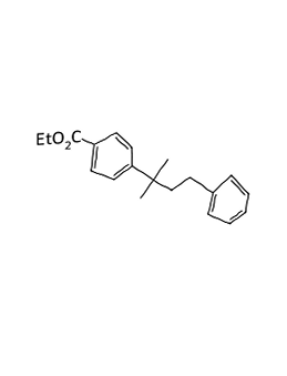 CCOC(=O)c1ccc(C(C)(C)CCc2ccccc2)cc1